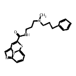 CN(CCCNC(=O)C1=Cc2cnc3cccc(n23)S1)CCCc1ccccc1